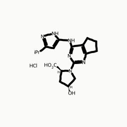 CC(C)c1cc(Nc2nc(N3C[C@H](O)C[C@H]3C(=O)O)nc3c2CCC3)[nH]n1.Cl